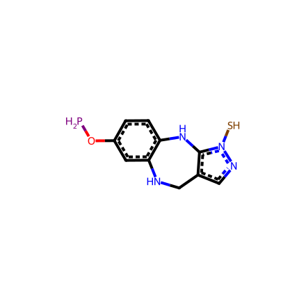 POc1ccc2c(c1)NCc1cnn(S)c1N2